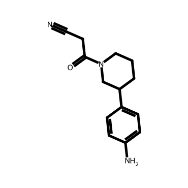 N#CCC(=O)N1CCCC(c2ccc(N)cc2)C1